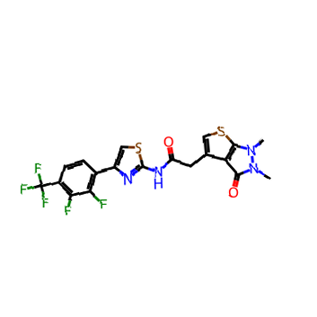 Cn1c(=O)c2c(CC(=O)Nc3nc(-c4ccc(C(F)(F)F)c(F)c4F)cs3)csc2n1C